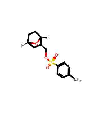 Cc1ccc(S(=O)(=O)OC[C@H]2C[C@@H]3CC[C@H]2O3)cc1